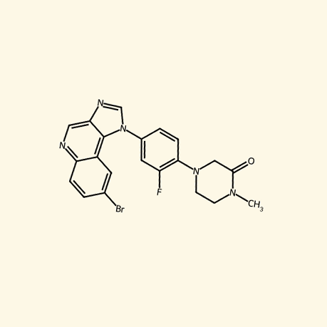 CN1CCN(c2ccc(-n3cnc4cnc5ccc(Br)cc5c43)cc2F)CC1=O